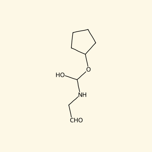 O=CCNC(O)OC1CCCC1